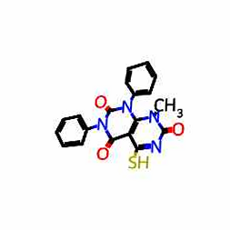 Cn1c(=O)nc(S)c2c(=O)n(-c3ccccc3)c(=O)n(-c3ccccc3)c21